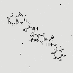 O=C(Cc1ccc2ccccc2c1)Nc1n[nH]c2c1CN(C(=O)NCc1ccccc1)C2